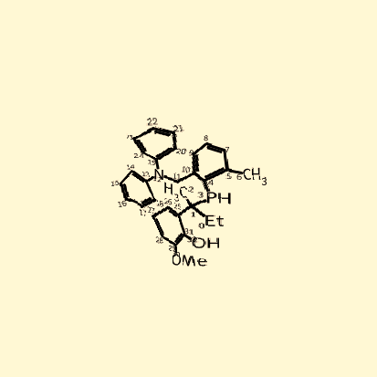 CCC(C)(Pc1c(C)cccc1CN(c1ccccc1)c1ccccc1)c1cccc(OC)c1O